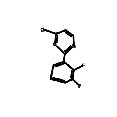 Fc1cccc(-c2nccc(Cl)n2)c1F